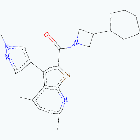 Cc1cc(C)c2c(-c3cnn(C)c3)c(C(=O)N3CC(C4CCCCC4)C3)sc2n1